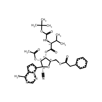 CC(=O)O[C@@H]1[C@H](OC(=O)[C@@H](NC(=O)OC(C)(C)C)C(C)C)[C@@H](COC(=O)Cc2ccccc2)O[C@@]1(C#N)c1ccc2c(N)ncnn12